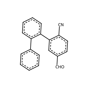 N#Cc1ccc(C=O)cc1-c1ccccc1-c1ccccc1